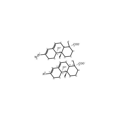 CC(C)C1=CC2=CCC3[C@](C)(C(=O)[O-])CCC[C@]3(C)[C@H]2CC1.CC(C)C1=CC2=CCC3[C@](C)(C(=O)[O-])CCC[C@]3(C)[C@H]2CC1.[Ni+2]